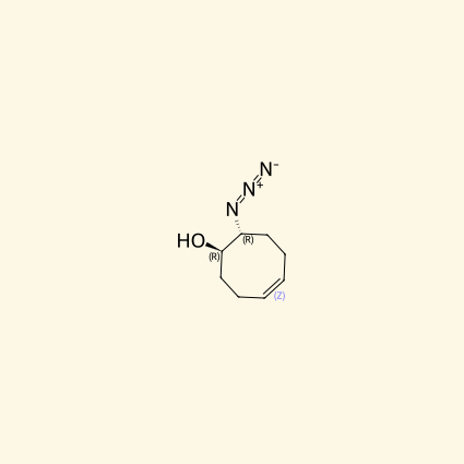 [N-]=[N+]=N[C@@H]1CC/C=C\CC[C@H]1O